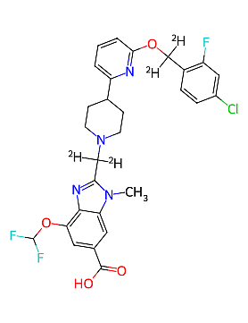 [2H]C([2H])(Oc1cccc(C2CCN(C([2H])([2H])c3nc4c(OC(F)F)cc(C(=O)O)cc4n3C)CC2)n1)c1ccc(Cl)cc1F